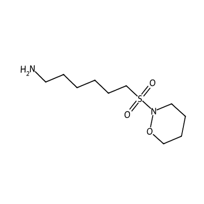 NCCCCCCS(=O)(=O)N1CCCCO1